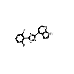 Fc1cccc(F)c1-c1nc(-c2ccnc3[nH]ccc23)no1